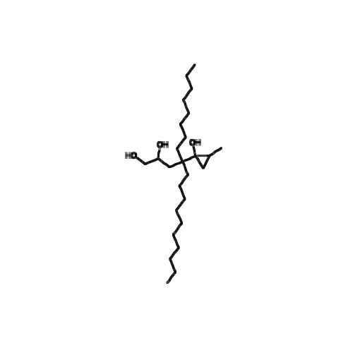 CCCCCCCCCCC(CCCCCCCC)(CC(O)CO)C1(O)CC1C